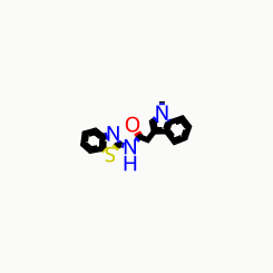 Cn1cc(CC(=O)Nc2nc3ccccc3s2)c2ccccc21